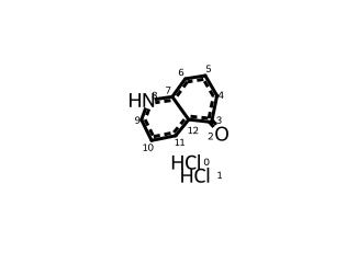 Cl.Cl.O=c1cccc2[nH]cccc1-2